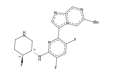 CC(C)(C)c1cn2c(-c3nc(N[C@H]4CNCC[C@@H]4F)c(F)cc3F)cnc2cn1